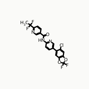 CC(F)(F)c1ccc(C(=O)Nc2ccc(-c3cc4c(cc3Cl)OC(F)(F)O4)cn2)cn1